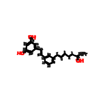 CC(C)C(O)CCCCCc1cccc(C=Cc2cc(O)cc(O)c2)c1